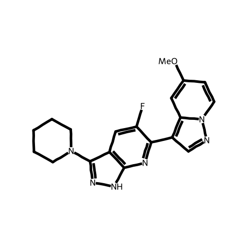 COc1ccn2ncc(-c3nc4[nH]nc(N5CCCCC5)c4cc3F)c2c1